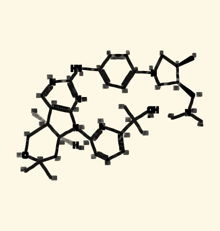 C[C@@H]1CN(c2ccc(Nc3ncc4c(n3)N(c3cccc(C(C)(C)O)n3)[C@H]3CC(C)(C)OC[C@@]43C)cc2)C[C@@H]1CN(C)C